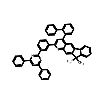 CC1(C)c2ccccc2-c2cc3c(-c4ccccc4-c4ccccc4)cc(-c4cccc(-c5nc(-c6ccccc6)cc(-c6ccccc6)n5)c4)nc3cc21